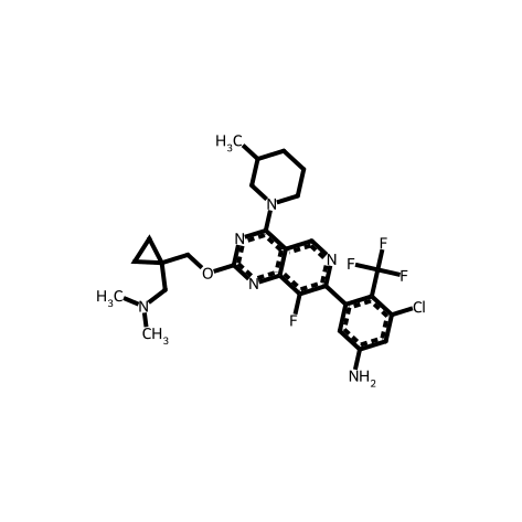 CC1CCCN(c2nc(OCC3(CN(C)C)CC3)nc3c(F)c(-c4cc(N)cc(Cl)c4C(F)(F)F)ncc23)C1